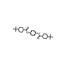 CC(C)(C)C1CCC(C(=O)Oc2ccc(OC(=O)C3CCC(C(C)(C)C)CC3)cc2)CC1